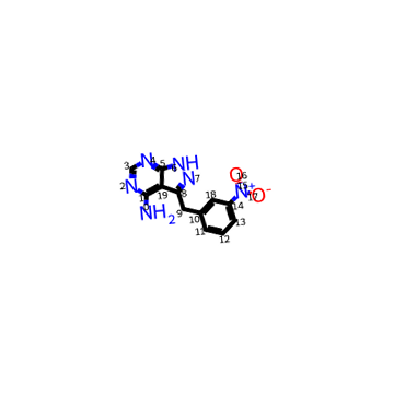 Nc1ncnc2[nH]nc(Cc3cccc([N+](=O)[O-])c3)c12